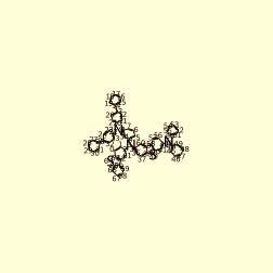 C1=CC(N(c2cccc(N(c3ccc(-c4ccccc4)cc3)c3ccc(-c4ccccc4)cc3)c2)c2ccc3sc4cc(N(c5ccccc5)c5ccccc5)ccc4c3c2)Cc2c1sc1ccccc21